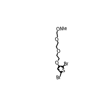 COCCOCCOCCOc1cc(Br)sc1Br